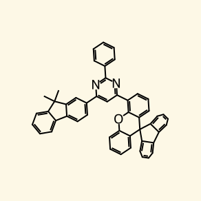 CC1(C)c2ccccc2-c2ccc(-c3cc(-c4cccc5c4Oc4ccccc4C54c5ccccc5-c5ccccc54)nc(-c4ccccc4)n3)cc21